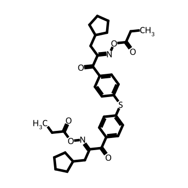 CCC(=O)ON=C(CC1CCCC1)C(=O)c1ccc(Sc2ccc(C(=O)C(CC3CCCC3)=NOC(=O)CC)cc2)cc1